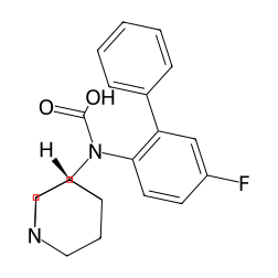 O=C(O)N(c1ccc(F)cc1-c1ccccc1)[C@H]1CN2CCC1CC2